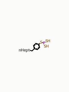 CCCCCCCCc1ccc(SP(S)S)cc1